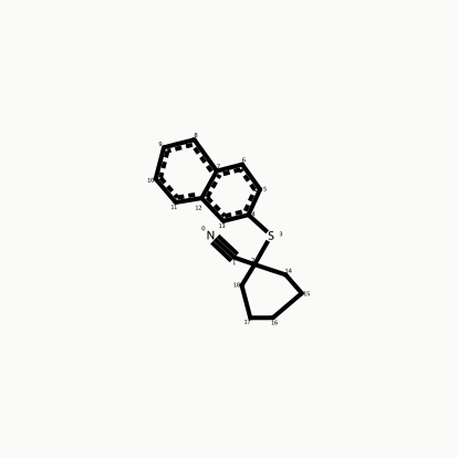 N#CC1(Sc2ccc3ccccc3c2)CCCCC1